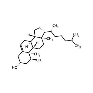 CC(C)CCC[C@@H](C)[C@H]1CC[C@H]2[C@@H]3CC=C4C[C@@H](O)C[C@H](O)[C@]4(C)[C@H]3CC[C@]12C